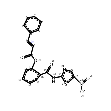 O=C(/C=C/c1ccccc1)Oc1ccccc1C(=O)Nc1ncc([N+](=O)[O-])s1